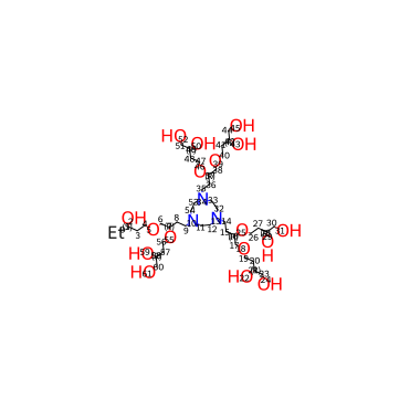 CC[C@H](O)CCOC[C@@H](CCN1CCN(CC[C@H](COCC[C@@H](O)CO)OCC[C@@H](O)CO)CCN(CC[C@H](COCC[C@@H](O)CO)OCC[C@@H](O)CO)CC1)OCC[C@@H](O)CO